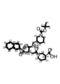 CC(C)(C)OC(=O)N1CCC[C@@H](CNC(=O)[C@@H](CC(=O)N2CCC[C@H](C(=O)O)C2)NS(=O)(=O)c2ccc3ccccc3c2)C1